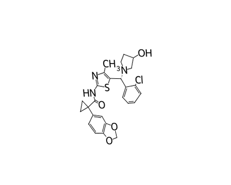 Cc1nc(NC(=O)C2(c3ccc4c(c3)OCO4)CC2)sc1[C@@H](c1ccccc1Cl)N1CCC(O)C1